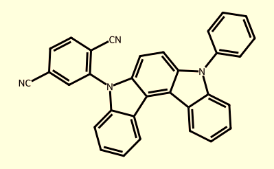 N#Cc1ccc(C#N)c(-n2c3ccccc3c3c4c5ccccc5n(-c5ccccc5)c4ccc32)c1